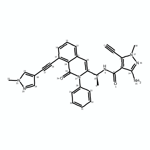 C#Cc1c(C(=O)N[C@@H](C)c2cc3cccc(C#Cc4cnn(C)c4)c3c(=O)n2-c2ccccc2)c(N)nn1C